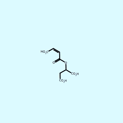 O=C(O)/C=C\C(=O)OC(CC(=O)O)C(=O)O